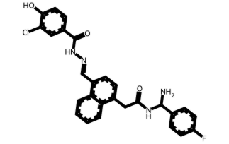 NC(NC(=O)Cc1ccc(/C=N/NC(=O)c2ccc(O)c(Cl)c2)c2ccccc12)c1ccc(F)cc1